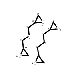 C(CC1CO1)CC1CO1.C(OCC1CO1)C1CO1